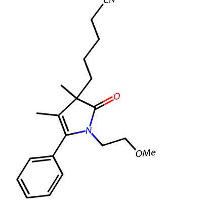 COCCN1C(=O)C(C)(CCCCC#N)C(C)=C1c1ccccc1